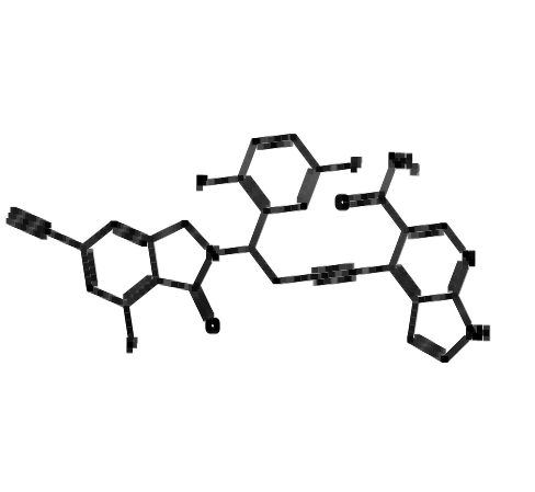 C#Cc1cc(F)c2c(c1)CN(C(CC#Cc1c(C(N)=O)cnc3[nH]ccc13)c1cc(F)ccc1F)C2=O